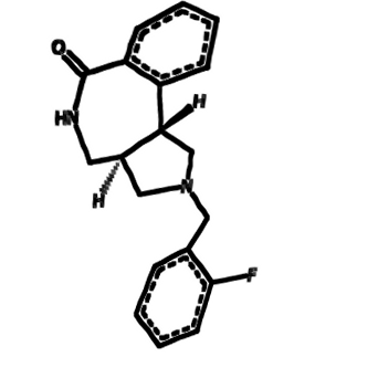 O=C1NC[C@@H]2CN(Cc3ccccc3F)C[C@H]2c2ccccc21